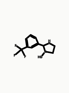 ON1CCNC1c1cccc(C(F)(F)F)c1